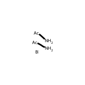 CC(N)=O.CC(N)=O.[B]